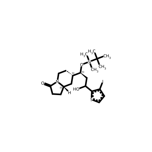 CC(C)(C)[Si](C)(C)O[C@@H](CC(O)c1sccc1I)[C@H]1CCN2C(=O)CC[C@H]2C1